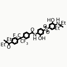 CCC(C)(CC)Nc1ccc(S(=O)(=O)c2ccc(NC(=O)c3ccc(C(c4ccc(C(=O)C(C)(CC)CC)cc4)(C(F)(F)F)C(F)(F)F)cc3)c(O)c2)cc1O